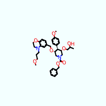 COCCCN1CCOc2ccc(CO[C@H]3CN(C(=O)OCc4ccccc4)C[C@@H](OCC(C)O)[C@@H]3c3ccc(OC)cc3)cc21